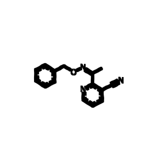 CC(=NOCc1ccccc1)c1ncccc1C#N